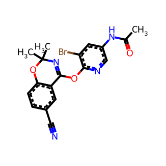 CC(=O)Nc1cnc(OC2=NC(C)(C)Oc3ccc(C#N)cc32)c(Br)c1